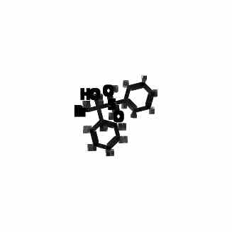 O=S(=O)(c1ccccc1)C(O)(Br)c1ccccc1